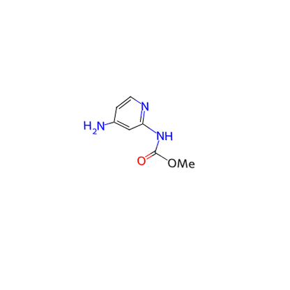 COC(=O)Nc1cc(N)ccn1